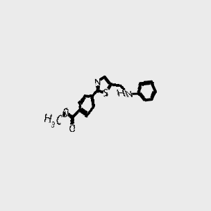 COC(=O)c1ccc(-c2ncc(CNc3ccccc3)s2)cc1